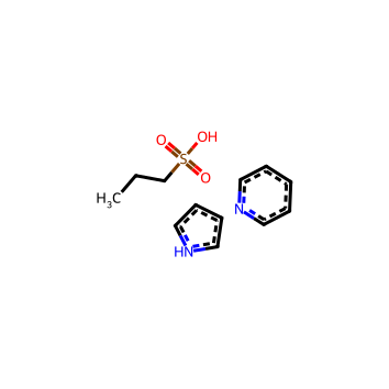 CCCS(=O)(=O)O.c1cc[nH]c1.c1ccncc1